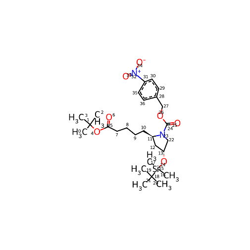 CC(C)(C)OC(=O)CCCC[C@@H]1C[C@@H](O[Si](C)(C)C(C)(C)C)CN1C(=O)OCc1ccc([N+](=O)[O-])cc1